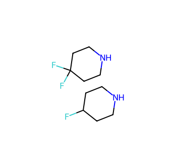 FC1(F)CCNCC1.FC1CCNCC1